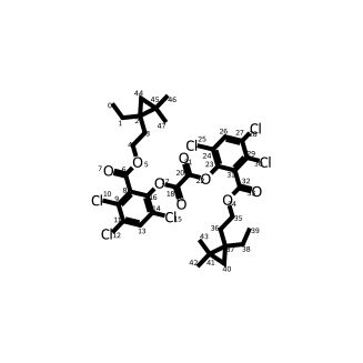 CCC1(CCOC(=O)c2c(Cl)c(Cl)cc(Cl)c2OC(=O)C(=O)Oc2c(Cl)cc(Cl)c(Cl)c2C(=O)OCCC2(CC)CC2(C)C)CC1(C)C